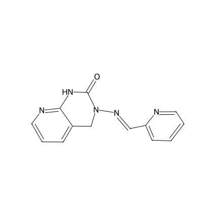 O=C1Nc2ncccc2CN1N=Cc1ccccn1